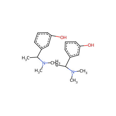 CC(c1cccc(O)c1)N(C)C.CC(c1cccc(O)c1)N(C)C